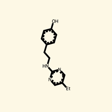 CCc1cnc(NCCc2ccc(O)cc2)nc1